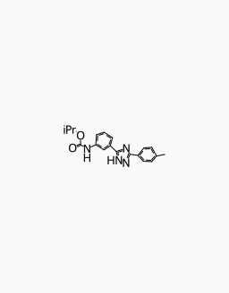 Cc1ccc(-c2n[nH]c(-c3cccc(NC(=O)OC(C)C)c3)n2)cc1